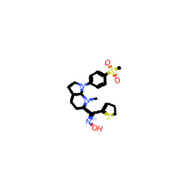 CN1C(/C(=N/O)C2CCCS2)CCC2CCN(c3ccc(S(C)(=O)=O)cc3)C21